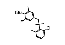 Cc1cc(CC(C)(C)c2c(C)cccc2Cl)cc(F)c1C(C)(C)C